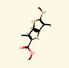 COC(=O)c1sc2c(C)c(SC)sc2c1C